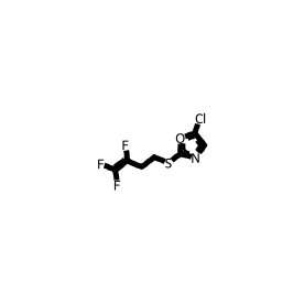 FC(F)=C(F)CCSc1ncc(Cl)o1